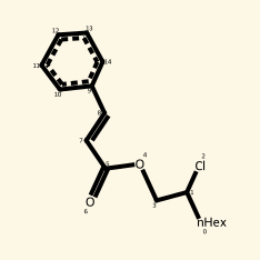 CCCCCCC(Cl)COC(=O)C=Cc1ccccc1